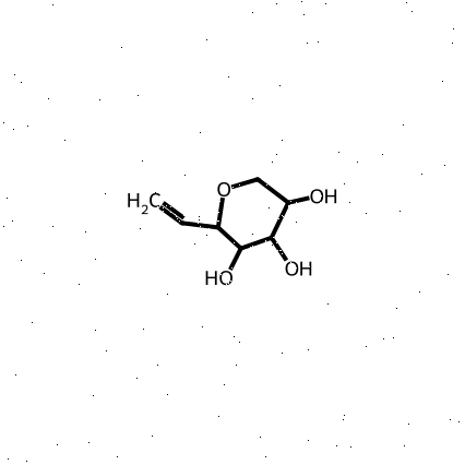 C=CC1OCC(O)C(O)C1O